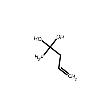 C=CCC(O)(O)P